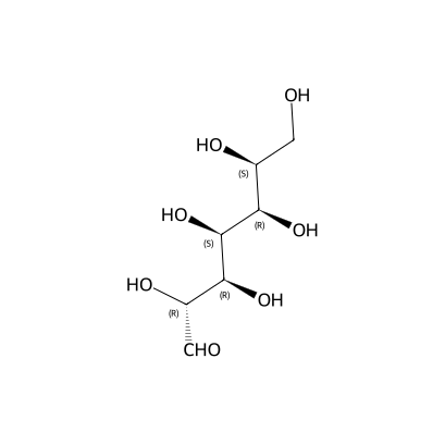 O=C[C@H](O)[C@H](O)[C@@H](O)[C@H](O)[C@@H](O)CO